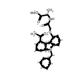 COC(=O)[C@H](C)NC(=O)COc1cccc2c1c1c(C(N)=O)cccc1n2Cc1ccccc1